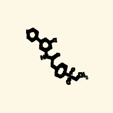 CCS(=O)(=O)c1ccc(CC(=O)Nc2cc(Cl)cc(-c3ccncc3)c2)cc1